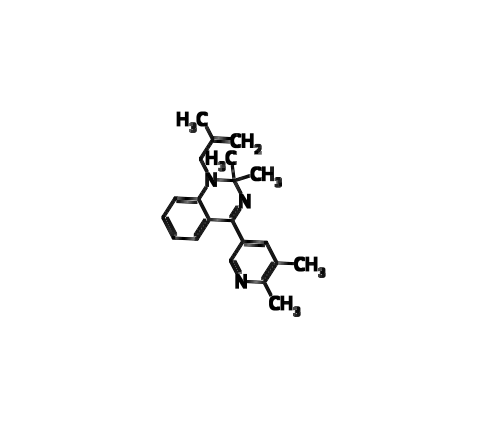 C=C(C)CN1c2ccccc2C(c2cnc(C)c(C)c2)=NC1(C)C